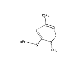 CCCSC1=CC(C)=CCN1C